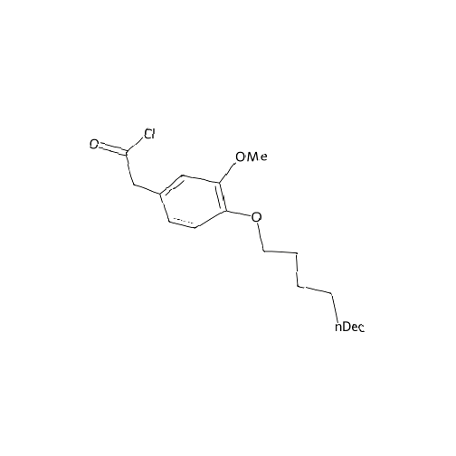 CCCCCCCCCCCCCCOc1ccc(CC(=O)Cl)cc1OC